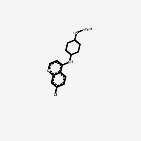 CCCCCNC1CCC(Nc2ccnc3cc(Cl)ccc23)CC1